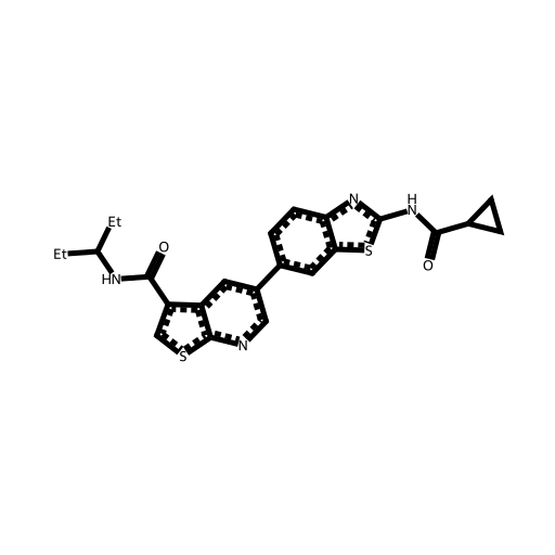 CCC(CC)NC(=O)c1csc2ncc(-c3ccc4nc(NC(=O)C5CC5)sc4c3)cc12